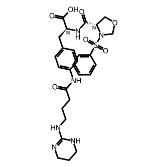 O=C(CCCNC1=NCCCN1)Nc1ccc(C[C@H](NC(=O)[C@@H]2COCN2S(=O)(=O)c2ccccc2)C(=O)O)cc1